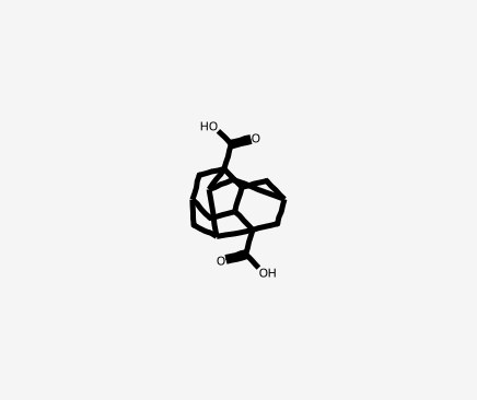 O=C(O)C12CC3CC4C1CC1CC2C(C3)C4(C(=O)O)C1